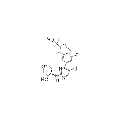 Cc1c(C(C)(C)O)cnc2c(F)cc(-c3nc(N[C@@H]4CCOC[C@H]4O)ncc3Cl)cc12